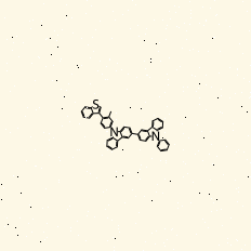 Cc1cc(-n2c3ccccc3c3cc(-c4ccc5c(c4)c4ccccc4n5-c4ccccc4)ccc32)ccc1-c1csc2ccccc12